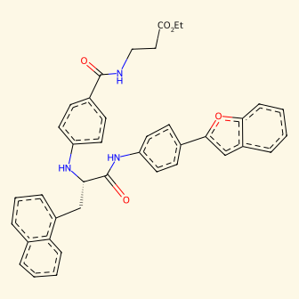 CCOC(=O)CCNC(=O)c1ccc(N[C@@H](Cc2cccc3ccccc23)C(=O)Nc2ccc(-c3cc4ccccc4o3)cc2)cc1